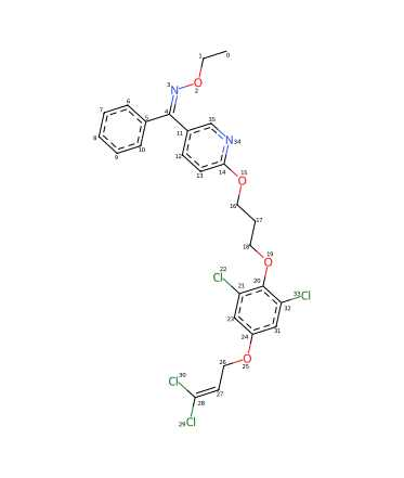 CCON=C(c1ccccc1)c1ccc(OCCCOc2c(Cl)cc(OCC=C(Cl)Cl)cc2Cl)nc1